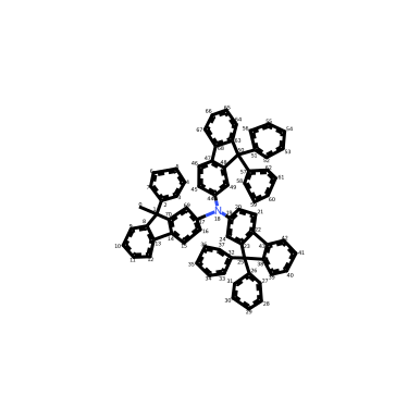 CC1(c2ccccc2)c2ccccc2-c2ccc(N(c3ccc4c(c3)C(c3ccccc3)(c3ccccc3)c3ccccc3-4)c3ccc4c(c3)C(c3ccccc3)(c3ccccc3)c3ccccc3-4)cc21